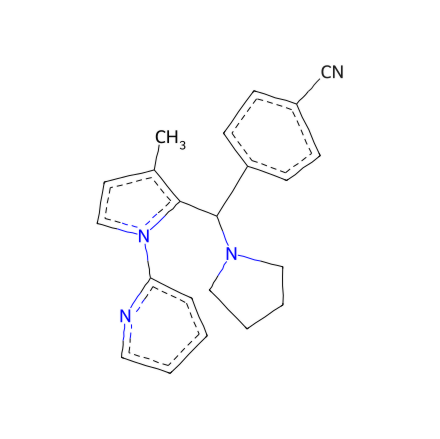 Cc1ccn(-c2ccccn2)c1C(c1ccc(C#N)cc1)N1CCCC1